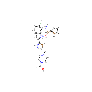 CC(=O)N1CCN(Cc2cnc(-c3cc4ccc(Cl)c(N(C)[S+]([O-])c5cccs5)c4[nH]3)s2)CC1